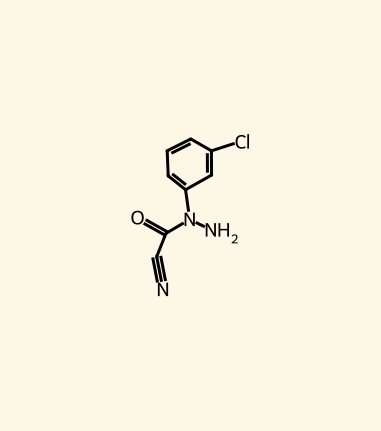 N#CC(=O)N(N)c1cccc(Cl)c1